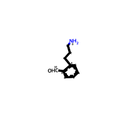 NCCCc1ccccc1C=O